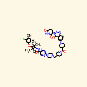 CC1(C)C(NC(=O)c2cnc(N3CCN(CC4CCN(C(=O)C5CCN(c6ccc7nnn(C8CCC(=O)NC8=O)c(=O)c7c6)CC5)CC4)CC3)nc2)C(C)(C)C1Oc1ccc(C#N)c(Cl)c1